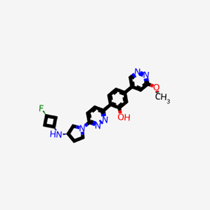 COc1cc(-c2ccc(-c3ccc(N4CC[C@H](N[C@H]5C[C@@H](F)C5)C4)nn3)c(O)c2)cnn1